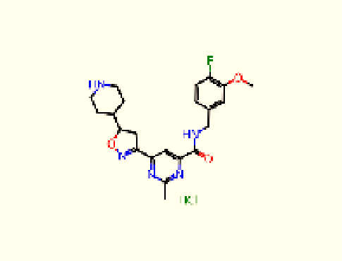 COc1cc(CNC(=O)c2cc(C3=NOC(C4CCNCC4)C3)nc(C)n2)ccc1F.Cl